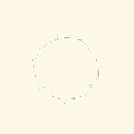 C1CCCCCCCCPCCCCCCCC1